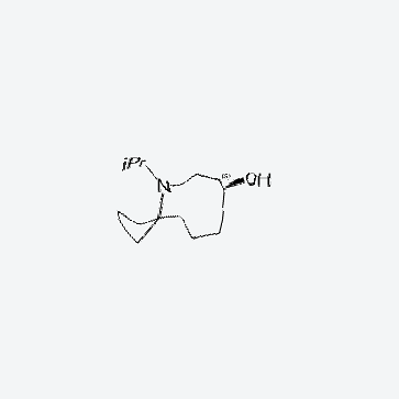 CC(C)N1C[C@@H](O)CCC12CC2